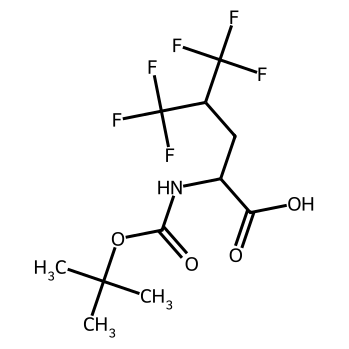 CC(C)(C)OC(=O)NC(CC(C(F)(F)F)C(F)(F)F)C(=O)O